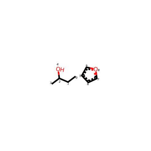 CCC(C)O.c1ccoc1